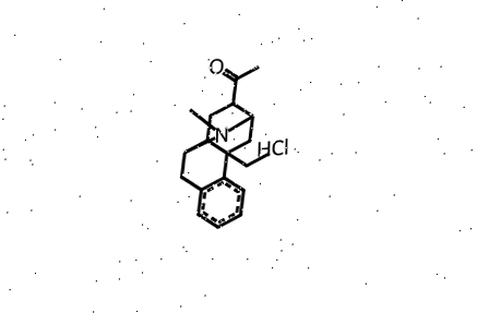 CCC12CC3C(C(C)=O)CC1C(Cc1ccccc12)N3C.Cl